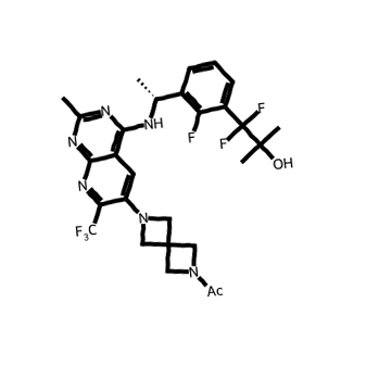 CC(=O)N1CC2(C1)CN(c1cc3c(N[C@H](C)c4cccc(C(F)(F)C(C)(C)O)c4F)nc(C)nc3nc1C(F)(F)F)C2